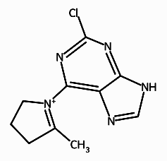 CC1=[N+](c2nc(Cl)nc3[nH]cnc23)CCC1